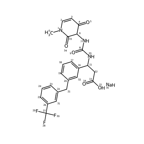 CN1C=CC(=O)C(NC(=O)NC(CC(=O)O)c2cccc(Cc3cccc(C(F)(F)F)c3)c2)C1=O.[NaH]